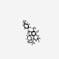 CC(C)c1c2c(c3c([n+]1[O-])CC(C)(C)CC3O[Si](C)(C)C(C)(C)C)C1(CCOCC1)O[C@@H]2c1ccc(C(F)(F)F)nc1